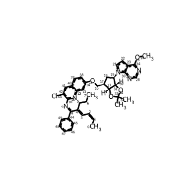 C\C=C/C=C(CCC)/C(=N\c1nc2cc(OC[C@H]3C[C@@H](n4ccc5c(OC)ncnc54)[C@@H]4OC(C)(C)O[C@H]34)ccc2cc1Cl)c1ccccc1